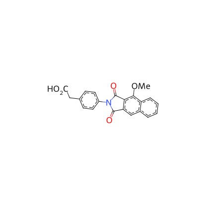 COc1c2c(cc3ccccc13)C(=O)N(c1ccc(CC(=O)O)cc1)C2=O